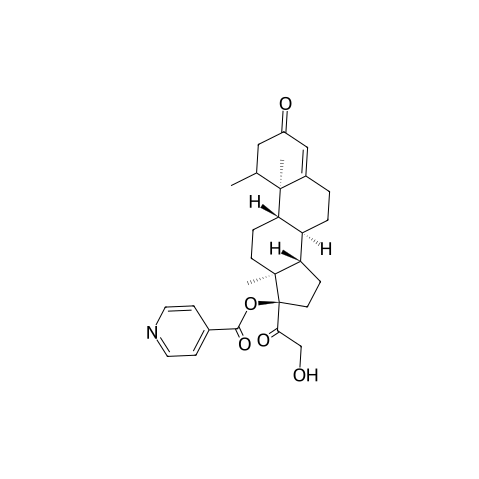 CC1CC(=O)C=C2CC[C@H]3[C@@H]4CC[C@](OC(=O)c5ccncc5)(C(=O)CO)[C@@]4(C)CC[C@@H]3[C@]21C